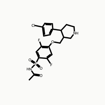 CC(=O)NS(=O)(=O)c1cc(F)c(OCC2CNCCC2c2ccc(Cl)cc2)cc1F